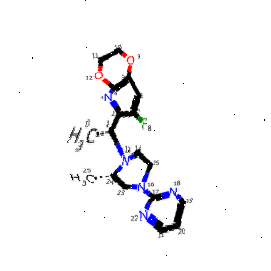 C[C@H](c1nc2c(cc1F)OCCO2)N1CCN(c2ncccn2)C[C@@H]1C